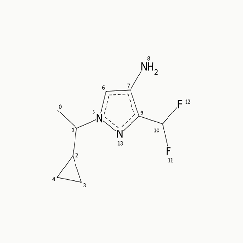 CC(C1CC1)n1cc(N)c(C(F)F)n1